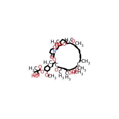 CO[C@H]1C[C@@H]2CC[C@@H](C)[C@@](O)(O2)C(=O)C(=O)N2CCCC[C@H]2C(=O)OC([C@H](C)C[C@@H]2CC[C@@H](OC(=O)C(C)(CO)CO)[C@H](OC)C2)CC(=O)[C@H](C)/C=C(\C)[C@@H](O)[C@@H](OC)C(=O)[C@H](C)C[C@H](C)/C=C/C=C/C=C/1C